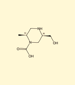 C[C@H]1CN[C@@H](CO)CN1C(=O)O